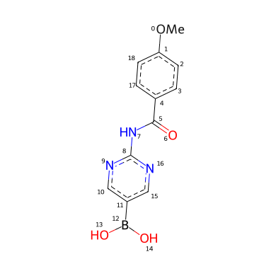 COc1ccc(C(=O)Nc2ncc(B(O)O)cn2)cc1